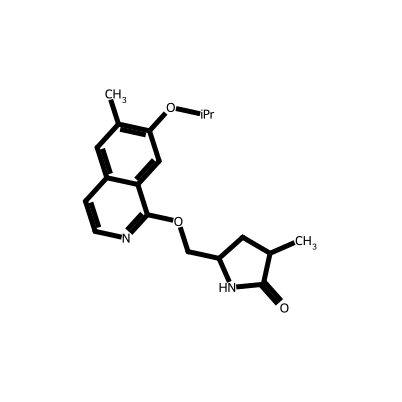 Cc1cc2ccnc(OCC3CC(C)C(=O)N3)c2cc1OC(C)C